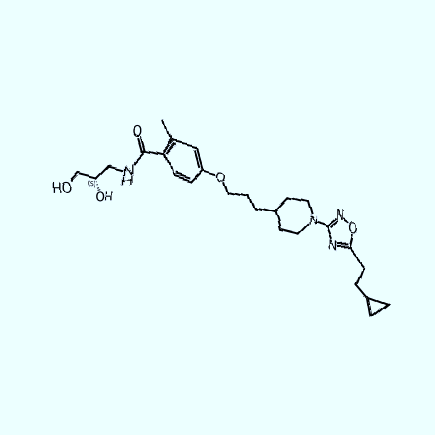 Cc1cc(OCCCC2CCN(c3noc(CCC4CC4)n3)CC2)ccc1C(=O)NC[C@H](O)CO